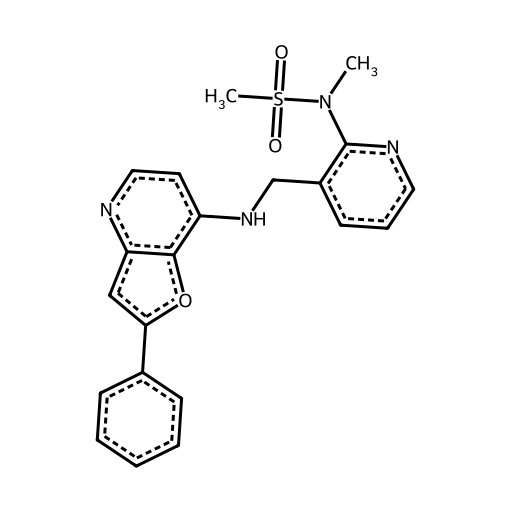 CN(c1ncccc1CNc1ccnc2cc(-c3ccccc3)oc12)S(C)(=O)=O